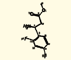 COC(=O)C[C@H](N)c1ccc(F)cc1F